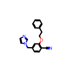 N#Cc1ccc(Cn2ccnc2)cc1OCCc1ccccc1